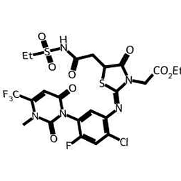 CCOC(=O)CN1C(=O)C(CC(=O)NS(=O)(=O)CC)SC1=Nc1cc(-n2c(=O)cc(C(F)(F)F)n(C)c2=O)c(F)cc1Cl